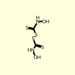 ONC(=S)SSC(=S)NO